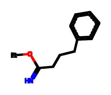 CCOC(=N)CCCc1ccccc1